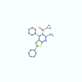 Cc1nc2sc(-c3ccccc3)cc2c(-c2ccccc2)c1C(=O)C1CC1